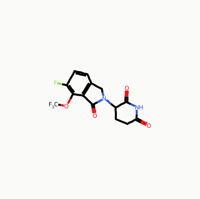 O=C1CCC(N2Cc3ccc(F)c(OC(F)(F)F)c3C2=O)C(=O)N1